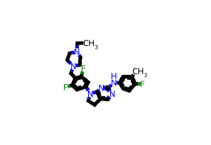 CCN1CCN(Cc2c(F)cc(N3CCc4cnc(Nc5ccc(F)c(C)c5)nc43)cc2F)CC1